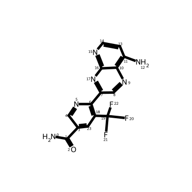 NC(=O)c1cnc(-c2cnc3c(N)ccnc3n2)c(C(F)(F)F)c1